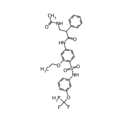 CCOc1cc(NC(=O)C(CNC(C)=O)c2ccccc2)ccc1S(=O)(=O)Nc1cccc(OC(F)(F)P)c1